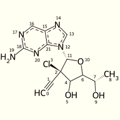 C#C[C@@]1(Cl)C(O)C([C@H](C)O)O[C@H]1n1cnc2cnc(N)nc21